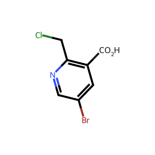 O=C(O)c1cc(Br)cnc1CCl